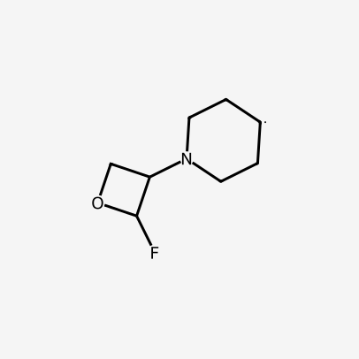 FC1OCC1N1CC[CH]CC1